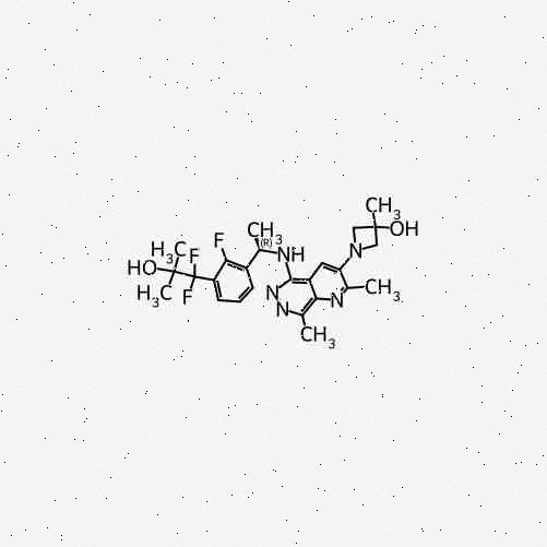 Cc1nc2c(C)nnc(N[C@H](C)c3cccc(C(F)(F)C(C)(C)O)c3F)c2cc1N1CC(C)(O)C1